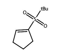 CC(C)(C)S(=O)(=O)C1=CCCC1